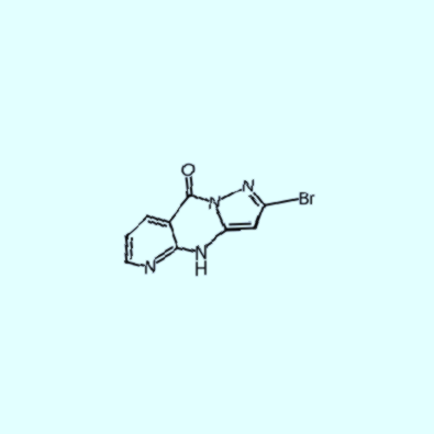 O=c1c2cccnc2[nH]c2cc(Br)nn12